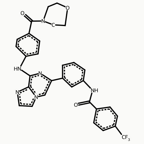 O=C(Nc1cccc(-c2cn3ccnc3c(Nc3ccc(C(=O)N4CCOCC4)cc3)n2)c1)c1ccc(C(F)(F)F)cc1